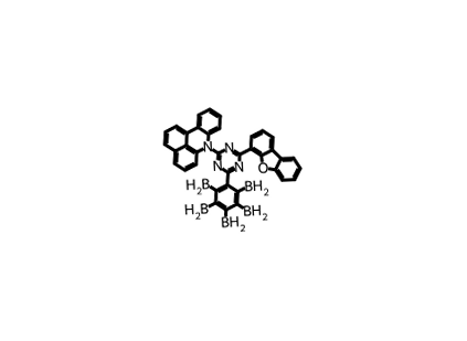 Bc1c(B)c(B)c(-c2nc(-c3cccc4c3oc3ccccc34)nc(N3c4ccccc4-c4cccc5cccc3c45)n2)c(B)c1B